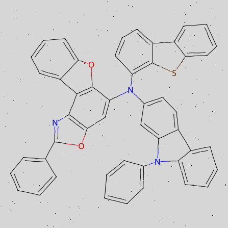 c1ccc(-c2nc3c(cc(N(c4ccc5c6ccccc6n(-c6ccccc6)c5c4)c4cccc5c4sc4ccccc45)c4oc5ccccc5c43)o2)cc1